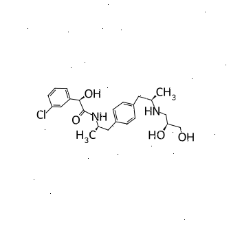 C[C@H](Cc1ccc(C[C@@H](C)NC(=O)[C@H](O)c2cccc(Cl)c2)cc1)NC[C@H](O)CO